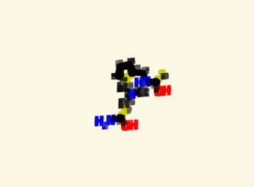 CCN(CC)CC.NC(O)=S.OC(=S)NCc1cccs1